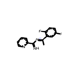 C/C(=N\C(=N)c1ccccn1)c1cc(F)ccc1F